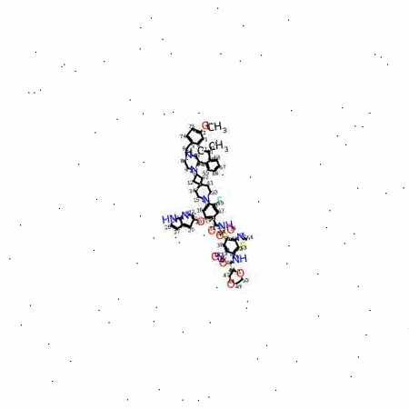 COc1ccc(CN2CCN(C3CC4(CCN(c5cc(Oc6cnc7[nH]ccc7c6)c(C(=O)NS(=O)(=O)c6cc([N+](=O)[O-])c(NC[C@H]7COCCO7)c7scnc67)cc5F)CC4)C3)[C@H](c3ccccc3C(C)C)C2)cc1